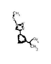 CSn1cc(-c2cccc(C(C)C)c2)nn1